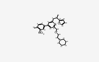 [CH2]C(Cc1cc(-c2ccc(C)c([N+](=O)[O-])c2)cc(COCCN2CCCCC2)n1)c1ccco1